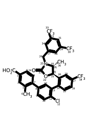 Cc1cc(C(=O)O)ccc1-c1ccc(Cl)c(-c2ccc(C(F)(F)F)cc2[C@H]2OC(=O)N(Cc3cc(C(F)(F)F)cc(C(F)(F)F)c3)[C@@H]2C)c1